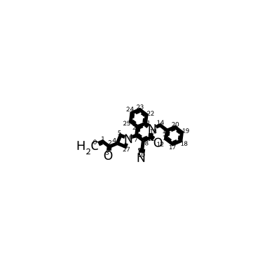 C=CC(=O)C1CN(c2c(C#N)c(=O)n(Cc3ccccc3)c3ccccc23)C1